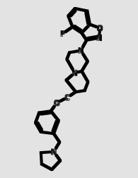 Fc1cccc2onc(N3CCN4CC(COc5cccc(CN6CCCC6)c5)CCC4C3)c12